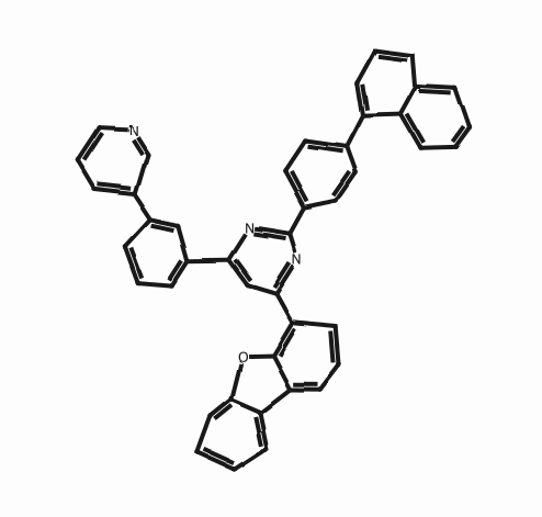 c1cncc(-c2cccc(-c3cc(-c4cccc5c4oc4ccccc45)nc(-c4ccc(-c5cccc6ccccc56)cc4)n3)c2)c1